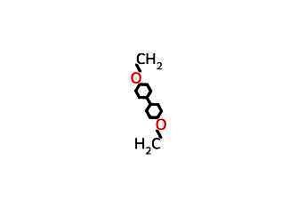 C=CCOC1CCC(C2CCC(OCC=C)CC2)CC1